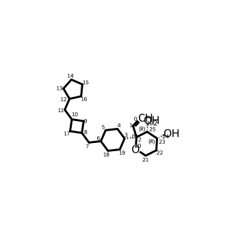 C=C[C@]1(C2CCC(CC3CC(CC4CCCC4)C3)CC2)OCC[C@@H](O)[C@H]1O